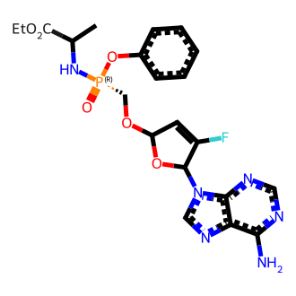 CCOC(=O)C(C)N[P@@](=O)(COC1C=C(F)C(n2cnc3c(N)ncnc32)O1)Oc1ccccc1